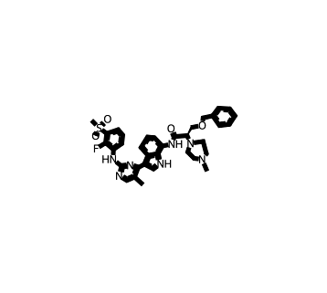 Cc1cnc(Nc2cccc(S(C)(=O)=O)c2F)nc1-c1c[nH]c2c(NC(=O)[C@@H](COCc3ccccc3)N3CCN(C)CC3)cccc12